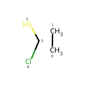 CC.SCCl